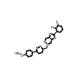 CCCCOc1ccc(-c2ccc(Cn3cc4nc(-c5cccc(F)c5F)nc-4cn3)nn2)cc1